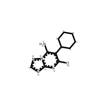 Nc1c(C2CCCCC2)c(Cl)nc2ncnn12